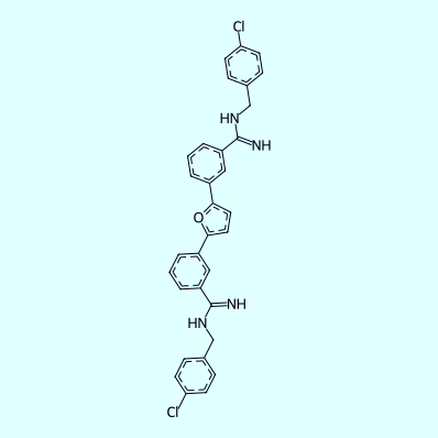 N=C(NCc1ccc(Cl)cc1)c1cccc(-c2ccc(-c3cccc(C(=N)NCc4ccc(Cl)cc4)c3)o2)c1